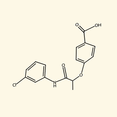 CC(Oc1ccc(C(=O)O)cc1)C(=O)Nc1cccc(Cl)c1